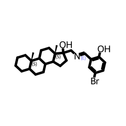 C[C@]12CCCCC1CCC1C2CC[C@@]2(C)C1CCC2(O)C/N=C/c1cc(Br)ccc1O